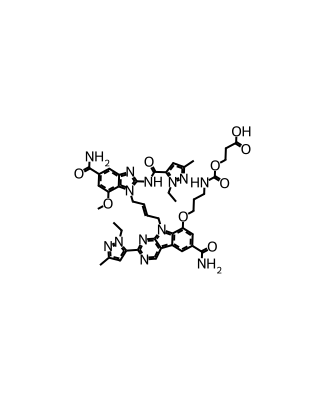 CCn1nc(C)cc1C(=O)Nc1nc2cc(C(N)=O)cc(OC)c2n1CC=CCn1c2nc(-c3cc(C)nn3CC)ncc2c2cc(C(N)=O)cc(OCCCNC(=O)OCCC(=O)O)c21